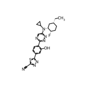 CC[C@@H]1CC[C@H](F)[C@H](N(c2cnc(-c3ccc(-c4nnc(C#N)s4)cc3O)nn2)C2CC2)C1